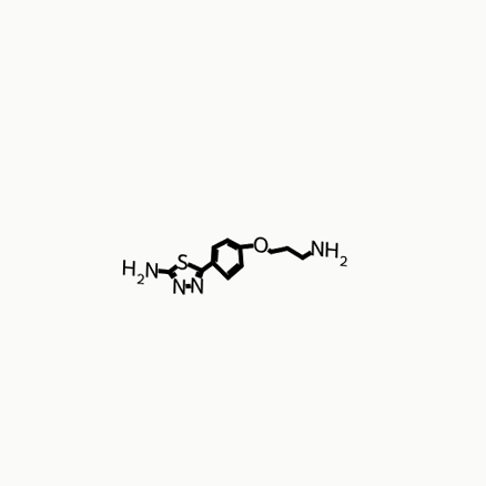 NCCCOc1ccc(-c2nnc(N)s2)cc1